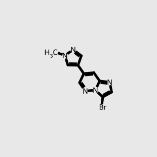 Cn1cc(-c2cnn3c(Br)cnc3c2)cn1